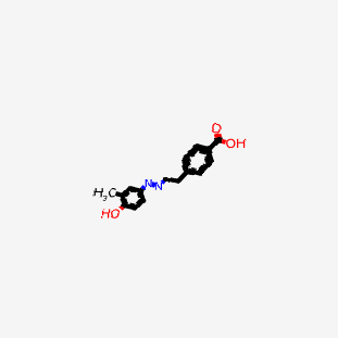 Cc1cc(N=NCCc2ccc(C(=O)O)cc2)ccc1O